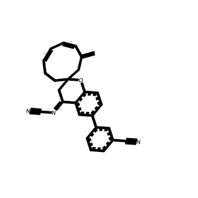 C=C1/C=C\C=C/CCC2(C1)C/C(=N\C#N)c1cc(-c3cccc(C#N)c3)ccc1O2